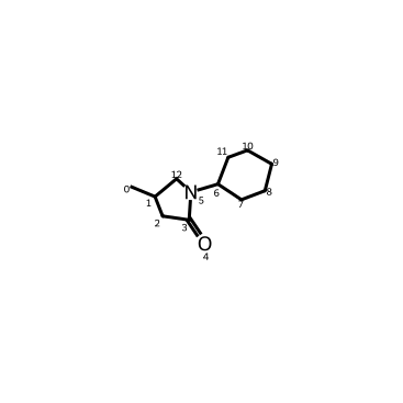 CC1CC(=O)N(C2CCCCC2)C1